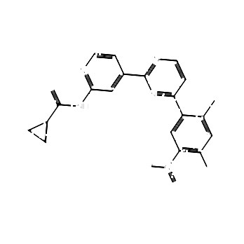 Cc1cc(F)c([N+](=O)[O-])cc1-c1ccnc(-c2ccnc(NC(=O)C3CC3)c2)n1